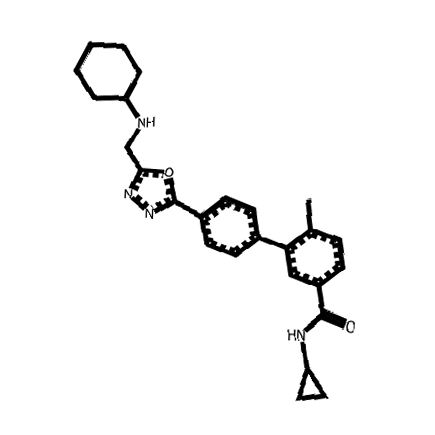 Cc1ccc(C(=O)NC2CC2)cc1-c1ccc(-c2nnc(CNC3CCCCC3)o2)cc1